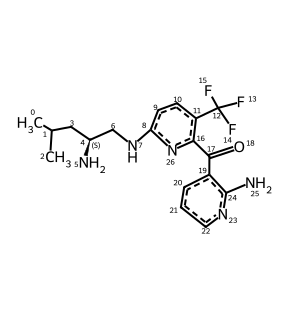 CC(C)C[C@H](N)CNc1ccc(C(F)(F)F)c(C(=O)c2cccnc2N)n1